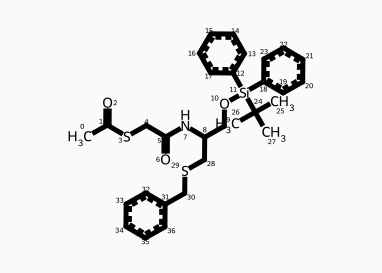 CC(=O)SCC(=O)NC(CO[Si](c1ccccc1)(c1ccccc1)C(C)(C)C)CSCc1ccccc1